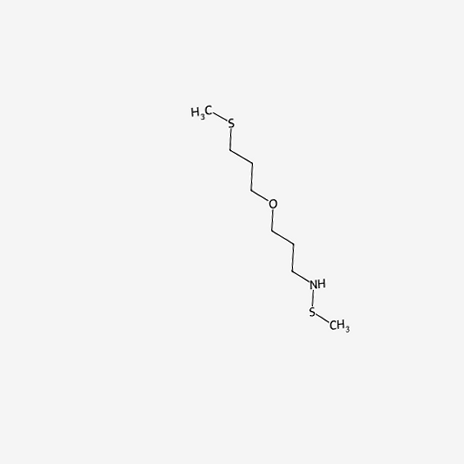 CSCCCOCCCNSC